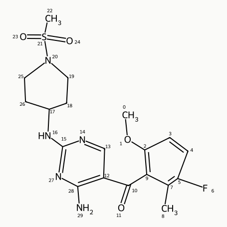 COc1ccc(F)c(C)c1C(=O)c1cnc(NC2CCN(S(C)(=O)=O)CC2)nc1N